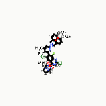 COc1ccc(CN(Cc2ccc(OC)cc2)c2cc(C)c(C(F)(F)F)c(-c3c(Cl)c(OC)c4c(N5C[C@H]6CC[C@@H](C5)N6C(=O)OC(C)(C)C)nc(Cl)nc4c3F)n2)cc1